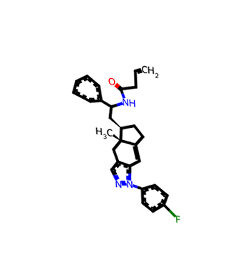 C=CCC(=O)NC(C[C@H]1CCC2=Cc3c(cnn3-c3ccc(F)cc3)C[C@@]21C)c1ccccc1